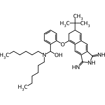 CCCCCCN(CCCCCC)C(O)c1ccccc1OC1=c2cc3c(cc2=CC(C(C)(C)C)C1)C(=N)NC3=N